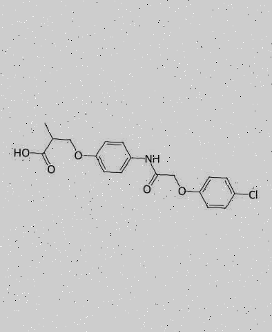 CC(COc1ccc(NC(=O)COc2ccc(Cl)cc2)cc1)C(=O)O